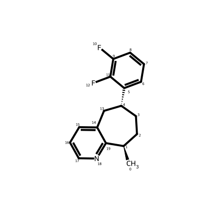 C[C@@H]1CC[C@@H](c2cccc(F)c2F)Cc2cccnc21